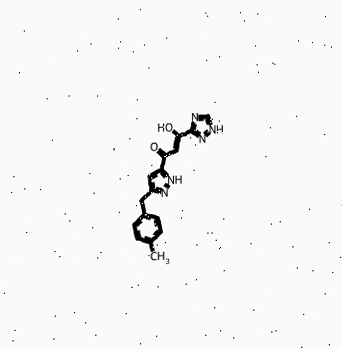 Cc1ccc(Cc2cc(C(=O)C=C(O)c3nc[nH]n3)[nH]n2)cc1